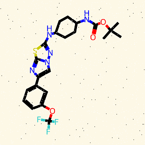 CC(C)(C)OC(=O)NC1CCC(Nc2nn3cc(-c4cccc(OC(F)(F)F)c4)nc3s2)CC1